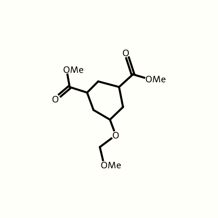 COCOC1CC(C(=O)OC)CC(C(=O)OC)C1